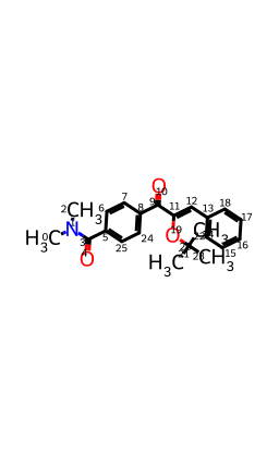 CN(C)C(=O)c1ccc(C(=O)C(=Cc2ccccc2)OC(C)(C)C)cc1